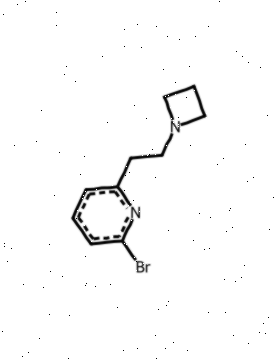 Brc1cccc(CCN2CCC2)n1